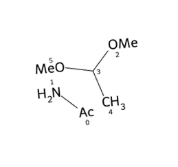 CC(N)=O.COC(C)OC